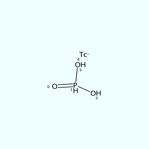 O=[PH](O)O.[Tc]